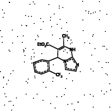 CCOC(=O)C1=C(C)Nc2nccn2C1c1ccccc1C(F)(F)F